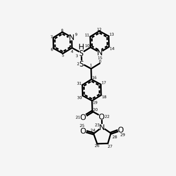 CC(S[SH](c1ccccn1)c1ccccn1)c1ccc(C(=O)ON2C(=O)CCC2=O)cc1